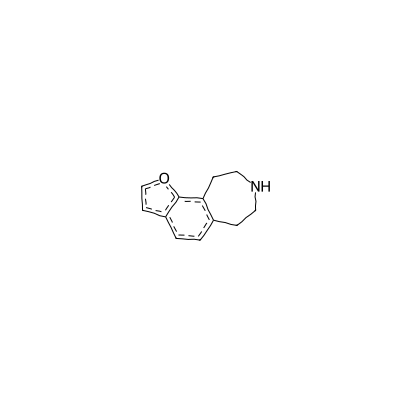 c1cc2ccc3c(c2o1)CCNCC3